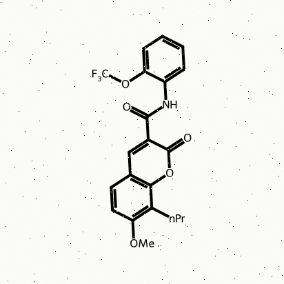 CCCc1c(OC)ccc2cc(C(=O)Nc3ccccc3OC(F)(F)F)c(=O)oc12